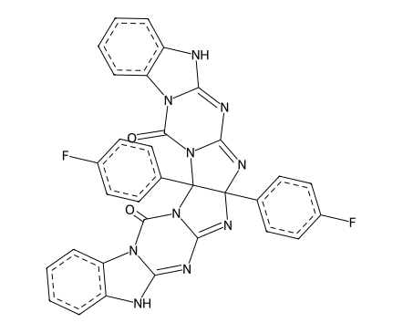 O=C1N2C(=NC3=NC4(c5ccc(F)cc5)N=C5N=C6Nc7ccccc7N6C(=O)N5C4(c4ccc(F)cc4)N13)Nc1ccccc12